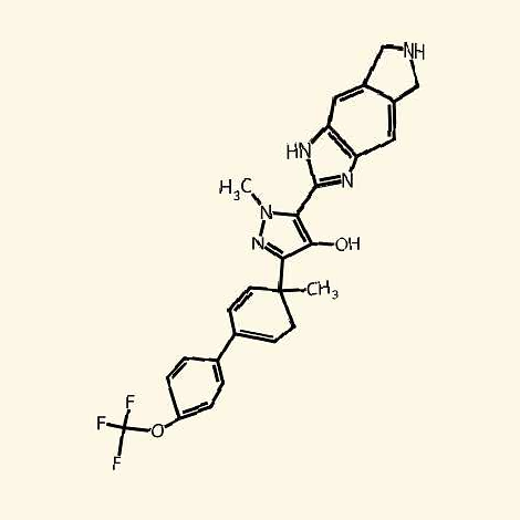 Cn1nc(C2(C)C=CC(c3ccc(OC(F)(F)F)cc3)=CC2)c(O)c1-c1nc2cc3c(cc2[nH]1)CNC3